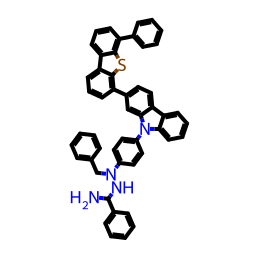 NC(NN(Cc1ccccc1)c1ccc(-n2c3ccccc3c3ccc(-c4cccc5c4sc4c(-c6ccccc6)cccc45)cc32)cc1)c1ccccc1